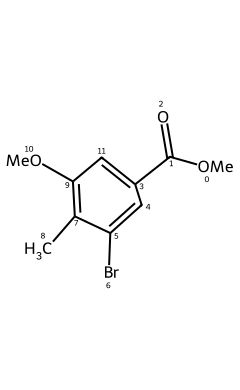 COC(=O)c1cc(Br)c(C)c(OC)c1